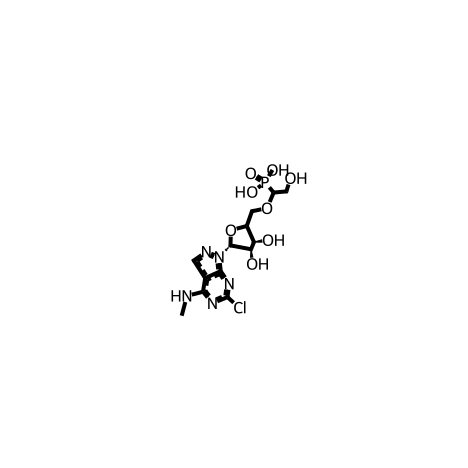 CNc1nc(Cl)nc2c1cnn2[C@@H]1OC(COC(CO)P(=O)(O)O)[C@@H](O)[C@H]1O